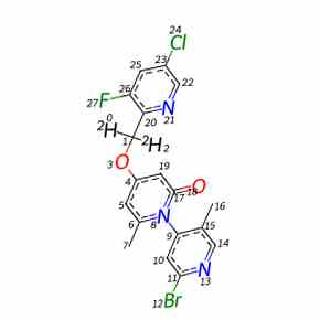 [2H]C([2H])(Oc1cc(C)n(-c2cc(Br)ncc2C)c(=O)c1)c1ncc(Cl)cc1F